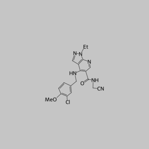 CCn1ncc2c(NCc3ccc(OC)c(Cl)c3)c(C(=O)NCC#N)cnc21